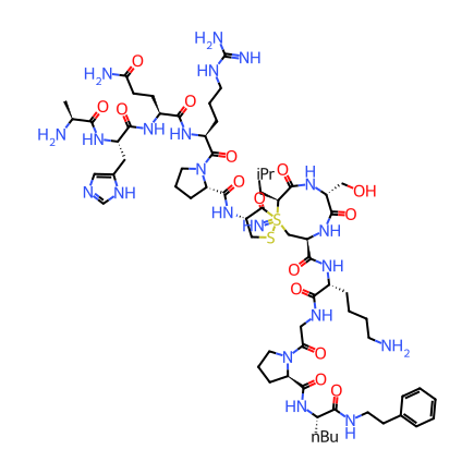 CCCC[C@H](NC(=O)[C@H]1CCCN1C(=O)CNC(=O)[C@@H](CCCCN)NC(=O)[C@H]1CS2(=N)(SC[C@H](NC(=O)[C@@H]3CCCN3C(=O)[C@H](CCCNC(=N)N)NC(=O)[C@H](CCC(N)=O)NC(=O)[C@H](Cc3cnc[nH]3)NC(=O)[C@H](C)N)C2=O)[C@@H](CC(C)C)C(=O)N[C@H](CO)C(=O)N1)C(=O)NCCc1ccccc1